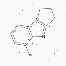 Fc1cccc2c1nc1n2CCC1